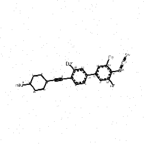 CCCCC1CCC(C#Cc2ccc(-c3cc(F)c(N=C=S)c(F)c3)cc2CC)CC1